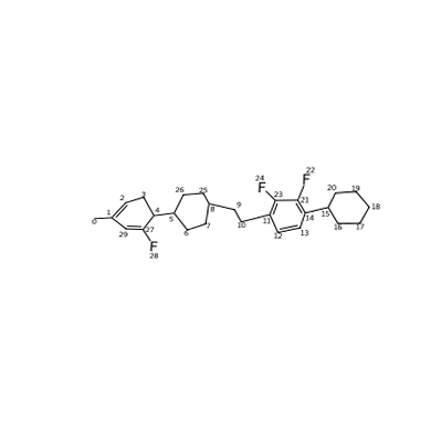 CC1=CCC(C2CCC(CCc3ccc(C4CCCCC4)c(F)c3F)CC2)C(F)=C1